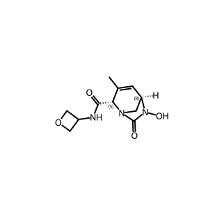 CC1=C[C@@H]2CN(C(=O)N2O)[C@@H]1C(=O)NC1COC1